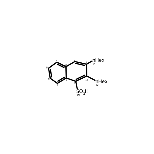 CCCCCCc1cc2ccccc2c(S(=O)(=O)O)c1CCCCCC